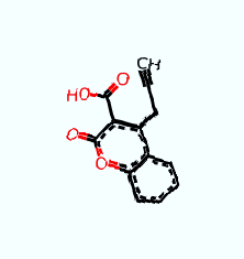 C#CCc1c(C(=O)O)c(=O)oc2ccccc12